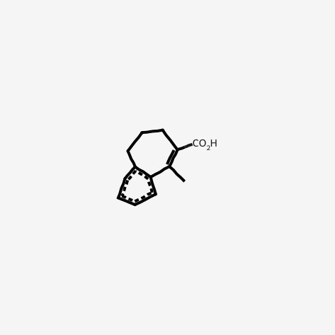 CC1=C(C(=O)O)CCCc2ccccc21